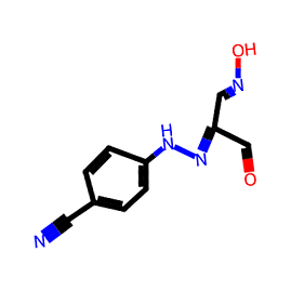 N#Cc1ccc(N/N=C(C=O)\C=N\O)cc1